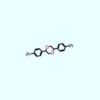 CC(C)c1ccc(C2COC(c3ccc(C(C)C)cc3)CO2)cc1